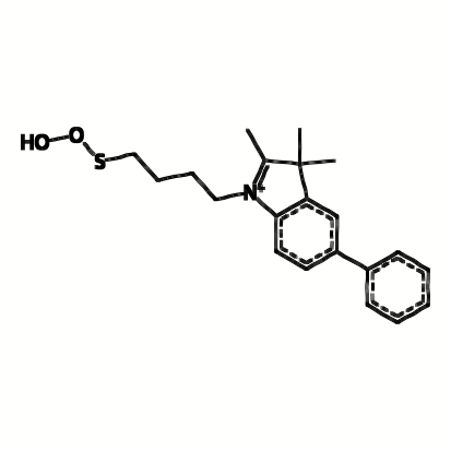 CC1=[N+](CCCCSOO)c2ccc(-c3ccccc3)cc2C1(C)C